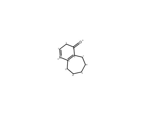 O=C1CC=NC2=C1CCCCC2